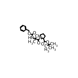 CC(C)(C)OC(=O)C1CCCN1C(=O)C(C)(C)NC(=O)OCc1ccccc1